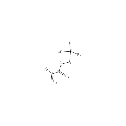 C=C(Br)C(=O)OCC(F)(F)F